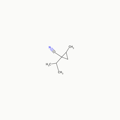 CC(C)C1(C#N)CC1C